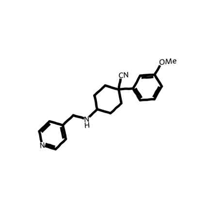 COc1cccc(C2(C#N)CCC(NCc3ccncc3)CC2)c1